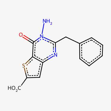 Nn1c(Cc2ccccc2)nc2cc(C(=O)O)sc2c1=O